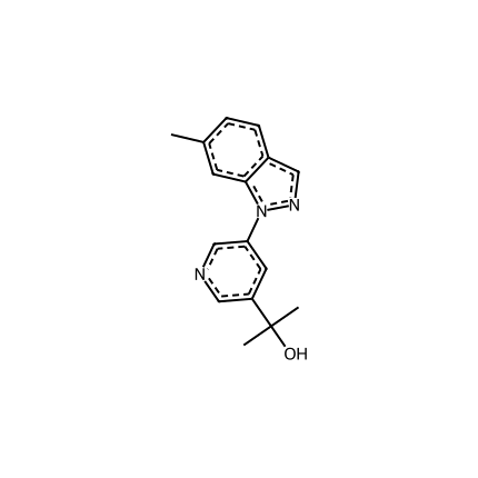 Cc1ccc2cnn(-c3cncc(C(C)(C)O)c3)c2c1